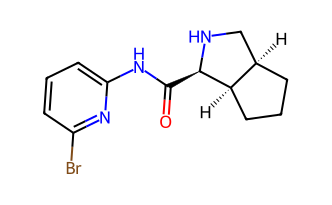 O=C(Nc1cccc(Br)n1)[C@H]1NC[C@H]2CCC[C@H]21